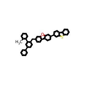 Cc1ccccc1-c1cc(-c2ccccc2)ccc1Cc1ccc2c(c1)oc1cc(-c3ccc4c(c3)sc3ccccc34)ccc12